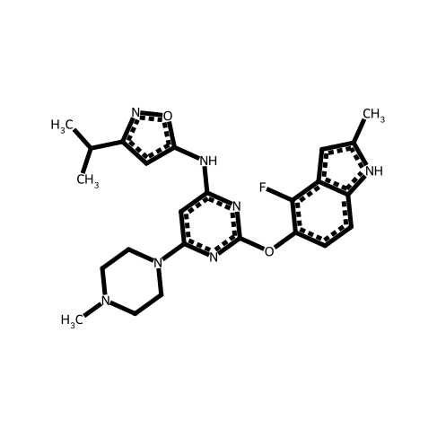 Cc1cc2c(F)c(Oc3nc(Nc4cc(C(C)C)no4)cc(N4CCN(C)CC4)n3)ccc2[nH]1